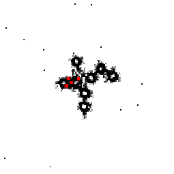 Cc1ccc(-c2ccc3c(c2)c2cc(-c4ccc(C)cc4)ccc2n3-c2ccc(-c3cccc4c3sc3ccccc34)cc2-c2nc(-c3ccccc3)nc(-c3ccccc3)n2)cc1